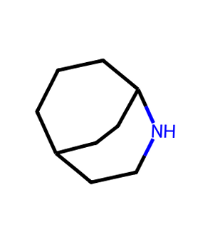 C1CC2CCNC(C1)CC2